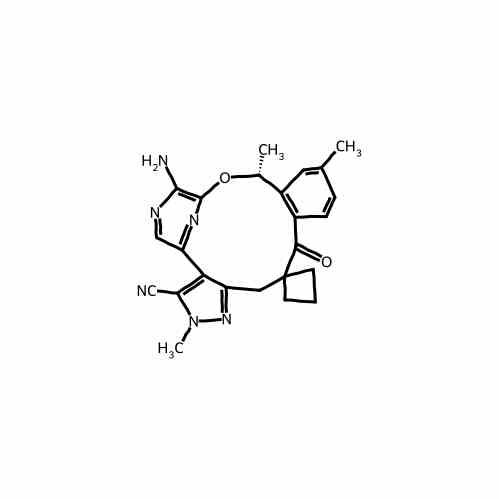 Cc1ccc2c(c1)[C@@H](C)Oc1nc(cnc1N)-c1c(nn(C)c1C#N)CC1(CCC1)C2=O